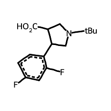 CC(C)(C)N1CC(C(=O)O)C(c2ccc(F)cc2F)C1